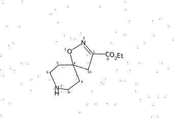 CCOC(=O)C1=NOC2(CCNCC2)C1